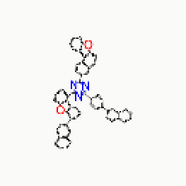 c1ccc2cc(-c3ccc(-c4nc(-c5ccc6c(ccc7oc8ccccc8c76)c5)nc(-c5cccc6oc7c(-c8ccc9ccccc9c8)cccc7c56)n4)cc3)ccc2c1